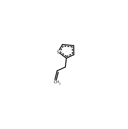 C=CCc1cc[c]s1